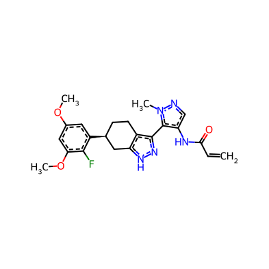 C=CC(=O)Nc1cnn(C)c1-c1n[nH]c2c1CC[C@H](c1cc(OC)cc(OC)c1F)C2